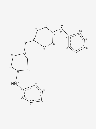 c1ccc(NC2CCC(CC3CCC(Nc4ccccc4)CC3)CC2)cc1